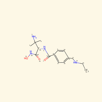 CC(C)(N)[C@H](NC(=O)c1ccc(CNCC(F)(F)F)cc1)C(=O)NO